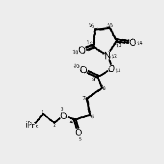 CC(C)CCOC(=O)CCCC(=O)ON1C(=O)CCC1=O